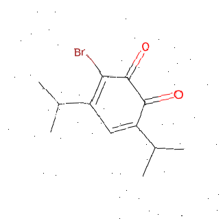 CC(C)C1=CC(C(C)C)=C(Br)C(=O)C1=O